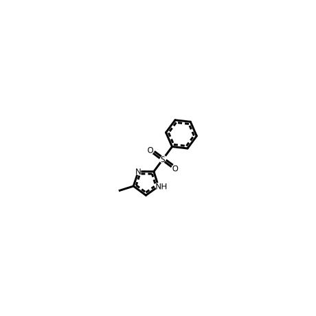 Cc1c[nH]c(S(=O)(=O)c2ccccc2)n1